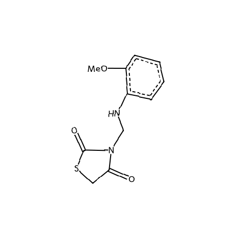 COc1ccccc1NCN1C(=O)CSC1=O